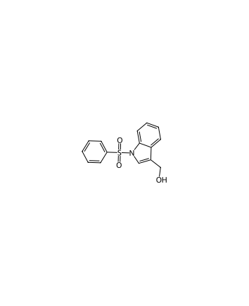 O=S(=O)(c1ccccc1)n1cc(CO)c2ccccc21